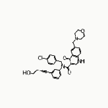 O=C(c1c[nH]c2ccc(CN3CCOCC3)cc2c1=O)N(Cc1ccc(Cl)cc1)c1cccc(C#CCCO)c1